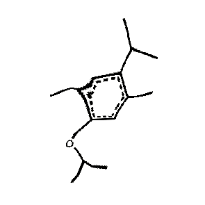 Cc1cc(C(C)C)c(C)cc1OC(C)C